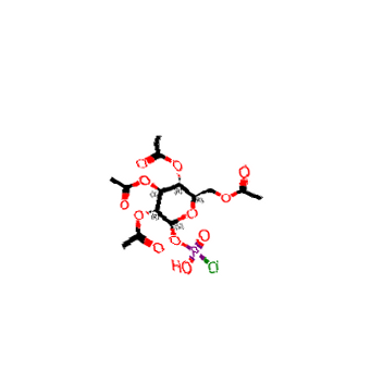 CC(=O)OC[C@H]1O[C@@H](OP(=O)(O)Cl)[C@H](OC(C)=O)[C@@H](OC(C)=O)[C@@H]1OC(C)=O